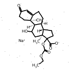 CCOC(=O)OC1(C(=O)[O-])CC[C@H]2[C@@H]3CCC4=CC(=O)CC[C@]4(C)[C@@H]3C(O)C[C@@]21C.[Na+]